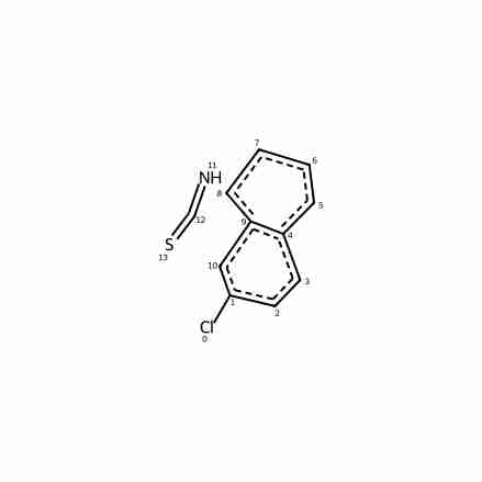 Clc1ccc2ccccc2c1.N=C=S